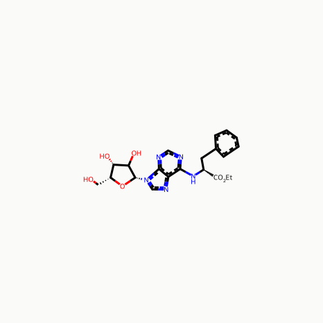 CCOC(=O)[C@H](Cc1ccccc1)Nc1ncnc2c1ncn2[C@@H]1O[C@H](CO)[C@H](O)C1O